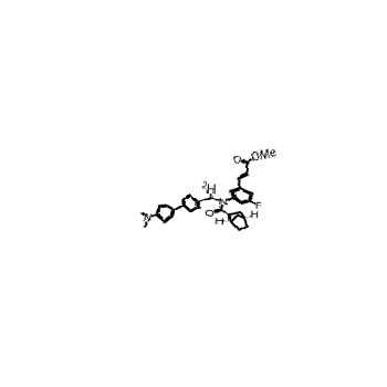 [2H][C@H](c1ccc(-c2ccc(N(C)C)cc2)cc1)N(C(=O)[C@H]1C[C@H]2CC[C@@H]1C2)c1cc(F)cc(/C=C/C(=O)OC)c1